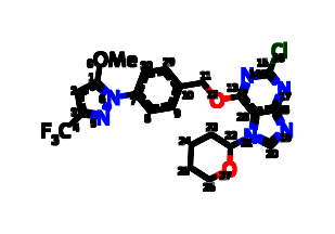 COc1cc(C(F)(F)F)nn1-c1ccc(COc2nc(Cl)nc3ncn(C4CCCCO4)c23)cc1